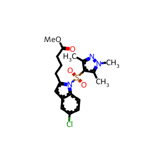 COC(=O)CCCc1cc2cc(Cl)ccc2n1S(=O)(=O)c1c(C)nn(C)c1C